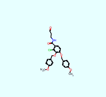 COc1ccc(COc2ccc(C(=O)NCCC=O)c(Cl)c2OCc2ccc(OC)cc2)cc1